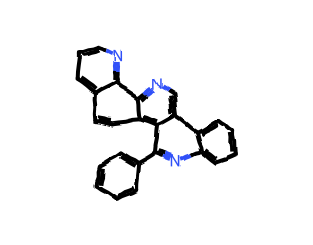 c1ccc(-c2nc3ccccc3c3cnc4c(ccc5cccnc54)c23)cc1